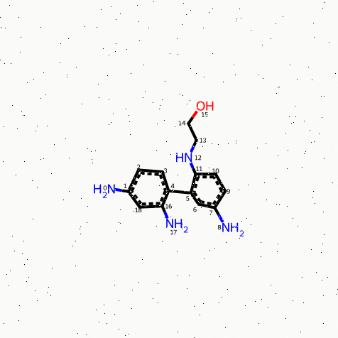 Nc1ccc(-c2cc(N)ccc2NCCO)c(N)c1